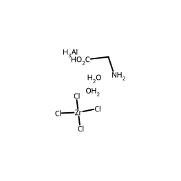 NCC(=O)O.O.O.[AlH3].[Cl][Zr]([Cl])([Cl])[Cl]